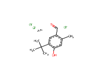 Cc1cc(O)c(C(C)(C)C)cc1C=O.[Al+3].[Cl-].[Cl-].[Cl-]